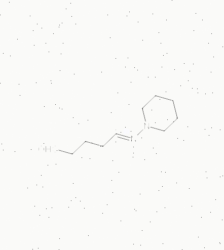 O=CCCC/C=N/N1CCCCC1